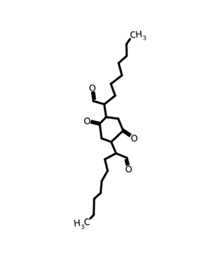 CCCCCCCC(C=O)C1CC(=O)C(C(C=O)CCCCCCC)CC1=O